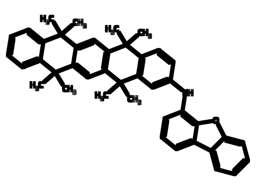 CC1(C)c2ccccc2C(C)(C)c2cc3c(cc21)C(C)(C)c1ccc(Nc2cccc4c2oc2ccccc24)cc1C3(C)C